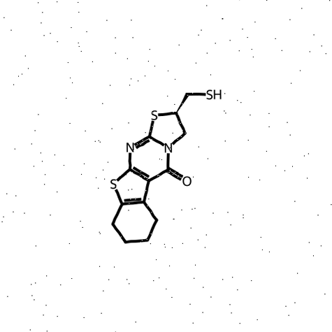 O=c1c2c3c(sc2nc2n1C[C@H](CS)S2)CCCC3